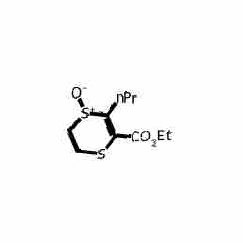 CCCC1=C(C(=O)OCC)SCC[S+]1[O-]